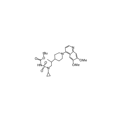 COc1cc2nccc(N3CCC(C(C)CN(C4CC4)S(=O)(=O)NC(=O)OC(C)(C)C)CC3)c2cc1OC